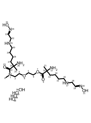 CN(CCOCCOC(=O)C(C)(N)CCCCNCC=NO)C(=O)C(C)(N)CCCCNCC=NO.Cl.Cl.Cl.Cl